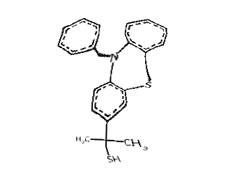 CC(C)(S)c1ccc2c(c1)Sc1ccccc1N2c1ccccc1